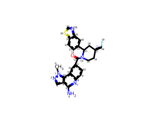 Cn1ncc2c(N)nc3ccc(C(=O)N4CC/C(=C/F)CC4c4ccc5scnc5c4)cc3c21